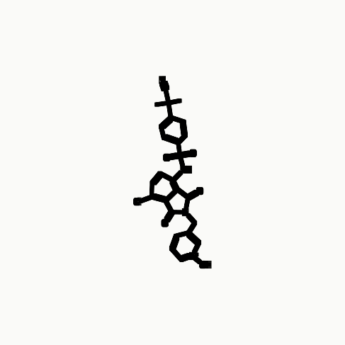 CC(C)(C#N)c1ccc(S(=O)(=O)Nc2ccc(Cl)c3c2C(=O)N(Cc2ccc[n+](O)c2)C3=O)cc1